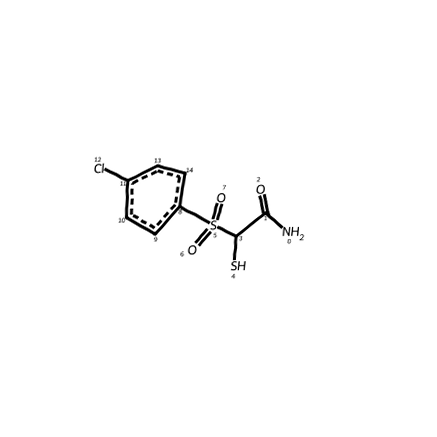 NC(=O)C(S)S(=O)(=O)c1ccc(Cl)cc1